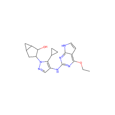 CCOc1nc(Nc2cnn(C3CC4CC4C3O)c2C2CC2)nc2[nH]ccc12